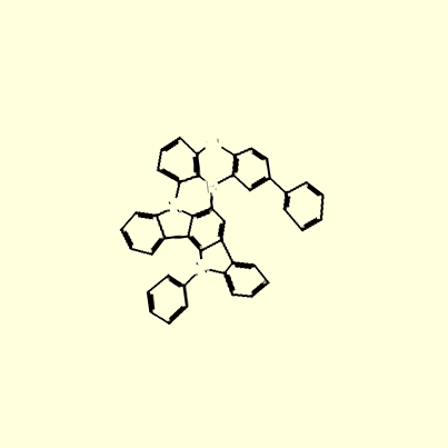 c1ccc(-c2ccc3c(c2)B2c4c(cccc4-n4c5ccccc5c5c4c2cc2c4ccccc4n(-c4ccccc4)c25)O3)cc1